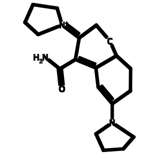 NC(=O)C1=C2C=C(N3CCCC3)CCC2CCC1=[N+]1CCCC1